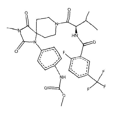 COC(=O)Nc1ccc(N2C(=O)N(C)C(=O)C23CCN(C(=O)[C@H](NC(=O)c2cc(C(F)(F)F)ccc2F)C(C)C)CC3)cc1